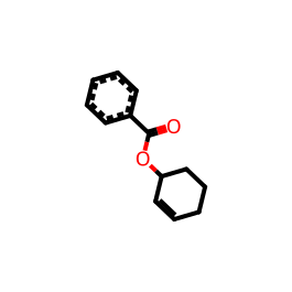 O=C(OC1C=CCCC1)c1ccccc1